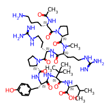 CC(=O)N[C@@H](CCCCN)C(=O)N1CCC[C@H]1C(=O)N(C)[C@@H](CCCNC(=N)N)C(=O)N[C@@H](CCCNC(=N)N)C(=O)N1CCC[C@H]1C(=O)N[C@@H](Cc1ccc(O)cc1)C(=O)N[C@H](C(=O)N[C@@H](CC(C)C)C(=O)O)C(C)(C)C